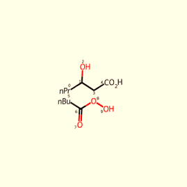 CCCC(O)CC(=O)O.CCCCC(=O)OO